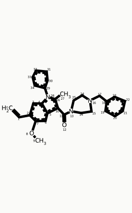 C=Cc1cc2c(cc1OC)c(C(=O)N1CCN(Cc3ccccc3)CC1)c(C)n2-c1ccccc1